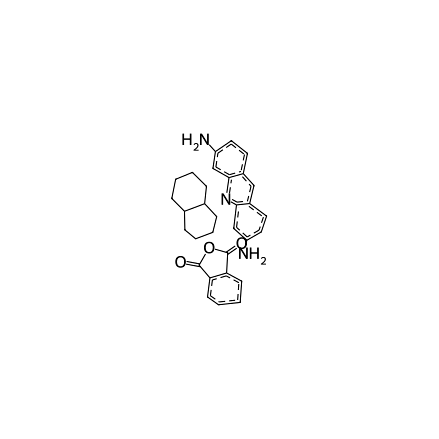 C1CCC2CCCCC2C1.Nc1ccc2cc3ccc(N)cc3nc2c1.O=C1OC(=O)c2ccccc21